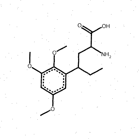 CCC(CC(N)C(=O)O)c1cc(OC)cc(OC)c1OC